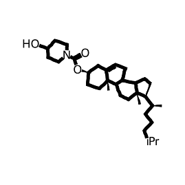 CC(C)CCC[C@H](C)[C@@H]1CCC2C3CC=C4C[C@H](OC(=O)N5CCC(O)CC5)CC[C@@]4(C)C3CC[C@]21C